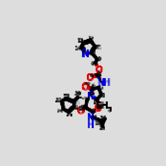 CC1C[C@H](NC(=O)OCCc2ccccn2)C(=O)N1[C@@H](Cc1ccccc1)C(=O)C(=O)NC1CC1